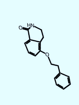 O=C1NCCc2c(OCCc3ccccc3)cccc21